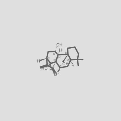 C=C1C(=O)[C@@]23[C@H](O)C[C@@H]4C(C)(C)CCC[C@@]4(COC(C)=O)[C@@H]2[C@@H](O)C[C@@H]1[C@H]3O